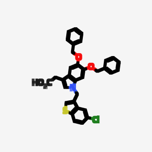 O=C(O)Cc1cn(Cc2csc3ccc(Cl)cc23)c2cc(OCc3ccccc3)c(OCc3ccccc3)cc12